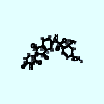 Cc1ccc(S(=O)(=O)Nc2ccc3c(c2)C(=O)N(C2CCC(=O)NC2=O)C3=O)c(C(C)C)c1